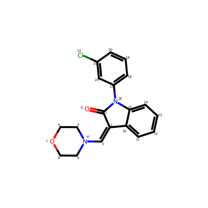 O=C1C(=CN2CCOCC2)c2ccccc2N1c1cccc(Cl)c1